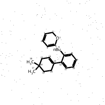 C1=CCOC=C1.CCCCc1ccccc1C1=CCC(C)(C)CC1